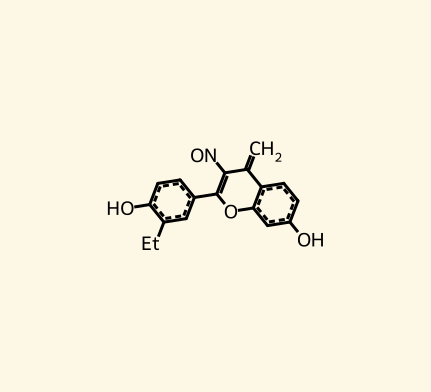 C=C1C(N=O)=C(c2ccc(O)c(CC)c2)Oc2cc(O)ccc21